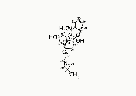 CC1=C(c2cccc(O)c2)C(O)(c2ccc(OCCN3CC(C)C3)cc2)Oc2ccccc21